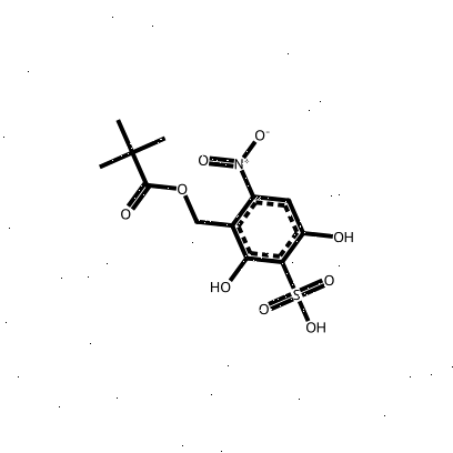 CC(C)(C)C(=O)OCc1c([N+](=O)[O-])cc(O)c(S(=O)(=O)O)c1O